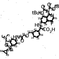 CN(C)Cc1cc(NC(=O)COCc2cccc(C(Nc3ccc4c(N(C(=O)OC(C)(C)C)C(=O)OC(C)(C)C)ncc(F)c4c3)C(=O)O)c2)ccc1S(=O)(=O)C1CC1